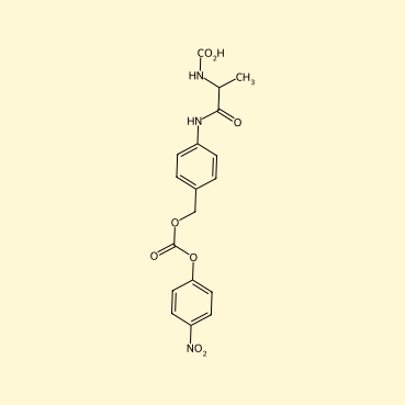 CC(NC(=O)O)C(=O)Nc1ccc(COC(=O)Oc2ccc([N+](=O)[O-])cc2)cc1